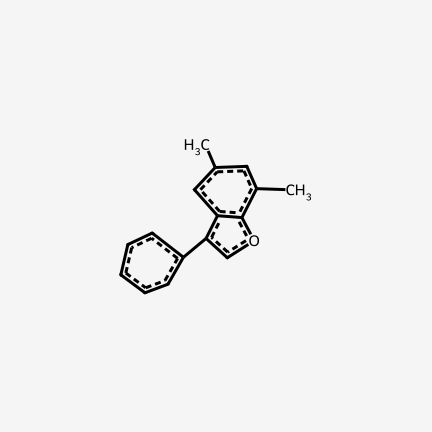 Cc1cc(C)c2occ(-c3ccccc3)c2c1